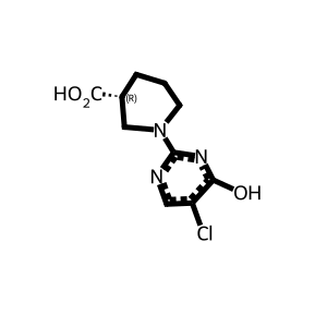 O=C(O)[C@@H]1CCCN(c2ncc(Cl)c(O)n2)C1